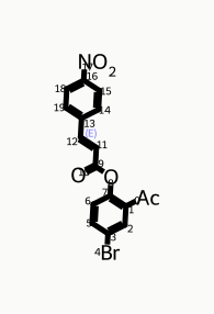 CC(=O)c1cc(Br)ccc1OC(=O)/C=C/c1ccc([N+](=O)[O-])cc1